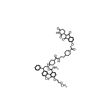 COCCOc1ccc(C(N)=O)c(-c2cc(C(CNC3CCC(C(=O)NCCC4CCN(C(=O)COc5ccc6c(c5)C(=O)N(C5CCC(=O)NC5=O)C6=O)CC4)CC3)c3ccccc3)ccc2Cl)c1F